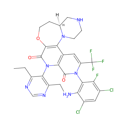 CCc1ncnc(CC)c1-n1c(=O)c2c(c3cc(C(F)(F)F)n(-c4c(N)c(Cl)cc(Cl)c4F)c(=O)c31)N1CCNC[C@@H]1CCO2